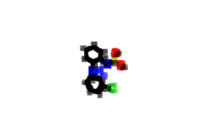 Clc1ccccc1.NC1CCCCC1N=S(=O)=O